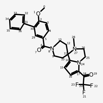 COc1ccc(C(=O)N2CCC3(CC2)c2ccc(C(=O)C(F)(F)F)n2CCN3C)cc1-c1ccccc1